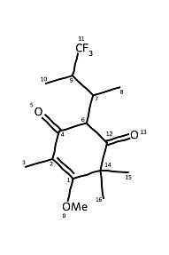 COC1=C(C)C(=O)C(C(C)C(C)C(F)(F)F)C(=O)C1(C)C